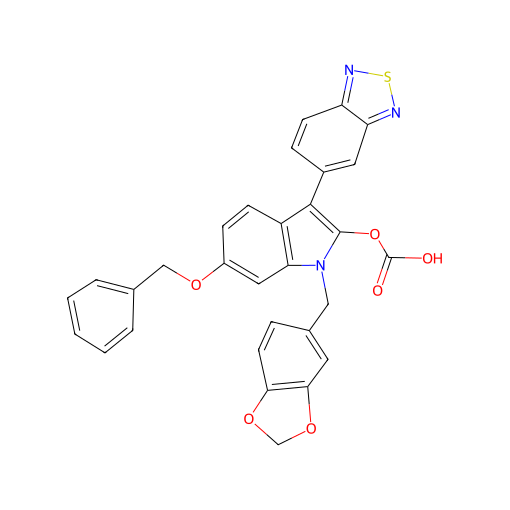 O=C(O)Oc1c(-c2ccc3nsnc3c2)c2ccc(OCc3ccccc3)cc2n1Cc1ccc2c(c1)OCO2